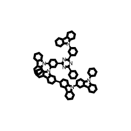 c1ccc(-c2nc(-c3cccc(-n4c5ccccc5c5ccccc54)c3)nc(-c3ccc(-n4c5ccccc5c5ccccc54)c(-n4c5ccccc5c5ccc(-c6ccc7c(c6)c6ccccc6n7-c6ccc7c(c6)c6ccccc6n7-c6ccccc6)cc54)c3)n2)cc1